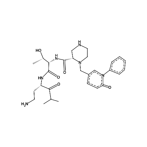 CC(C)C(=O)[C@H](CCN)NC(=O)[C@@H](NC(=O)[C@@H]1CNCCN1Cc1ccc(=O)n(-c2ccccc2)c1)[C@H](C)O